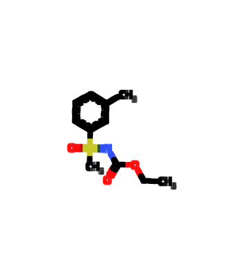 CCOC(=O)N=S(C)(=O)c1cccc(C)c1